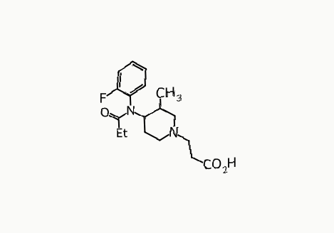 CCC(=O)N(c1ccccc1F)C1CCN(CCC(=O)O)CC1C